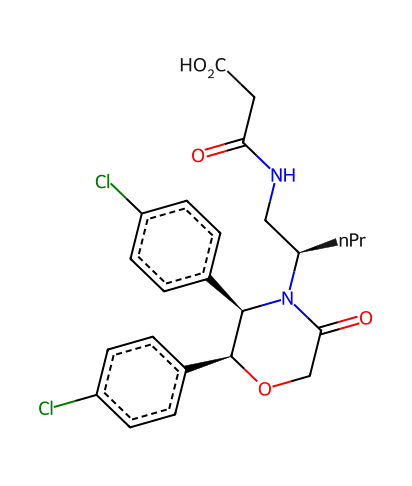 CCC[C@H](CNC(=O)CC(=O)O)N1C(=O)CO[C@@H](c2ccc(Cl)cc2)[C@H]1c1ccc(Cl)cc1